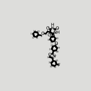 O=C1NC(=O)C(CCOCc2ccccc2)(Oc2ccc(Oc3ccc(-c4nc(-c5cccc(F)c5)co4)cc3)cc2)C(=O)N1